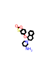 N[C@H]1CCCN([C@H]2CCc3ccccc3[C@@H]2Oc2ccc3oc(=O)sc3c2)C1